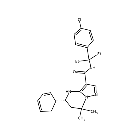 CCC(CC)(NC(=O)c1cnn2c1N[C@@H](C1C=CC=CC1)CC2(C)C)c1ccc(Cl)cc1